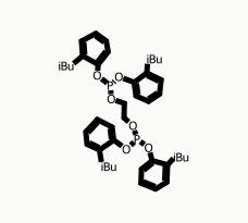 CCC(C)c1ccccc1OP(OCCOP(Oc1ccccc1C(C)CC)Oc1ccccc1C(C)CC)Oc1ccccc1C(C)CC